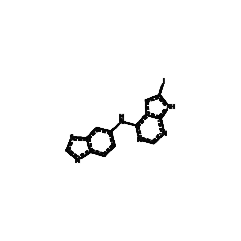 Ic1cc2c(Nc3ccc4ncsc4c3)ncnc2[nH]1